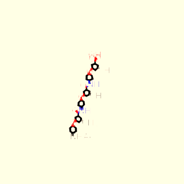 CC(=O)Nc1ccc(Oc2cc(C)cc(C(=O)Nc3ccc(Oc4cc(C)cc(C(=O)Nc5ccc(Oc6cc(C)cc(C(=O)OO)c6)cc5)c4)cc3)c2)cc1